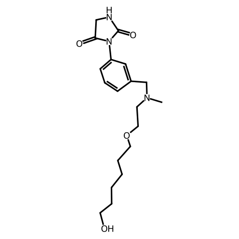 CN(CCOCCCCCCO)Cc1cccc(N2C(=O)CNC2=O)c1